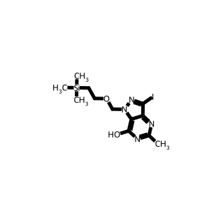 Cc1nc(O)c2c(n1)c(I)nn2COCC[Si](C)(C)C